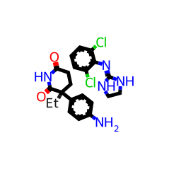 CCC1(c2ccc(N)cc2)CCC(=O)NC1=O.Clc1cccc(Cl)c1N=C1NCCN1